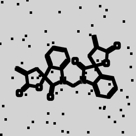 C=C1CC2(OC1=O)C(=O)N(CN1C(=O)C3(CC(=C)C(=O)O3)c3ccccc31)c1ccccc12